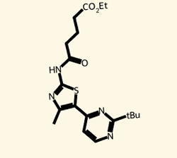 CCOC(=O)CCCC(=O)Nc1nc(C)c(-c2ccnc(C(C)(C)C)n2)s1